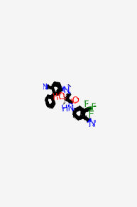 CN(C[C@](C)(O)C(=O)Nc1ccc(C#N)c(C(F)(F)F)c1)c1ccc(C#N)c(-c2ccccc2)c1